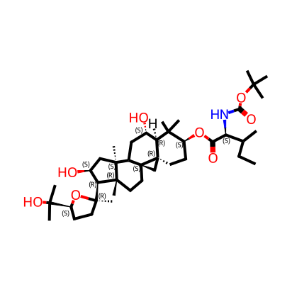 CCC(C)[C@H](NC(=O)OC(C)(C)C)C(=O)O[C@H]1CC[C@]23C[C@]24CC[C@]2(C)[C@@H]([C@@]5(C)CC[C@@H](C(C)(C)O)O5)[C@@H](O)C[C@@]2(C)C4C[C@H](O)[C@H]3C1(C)C